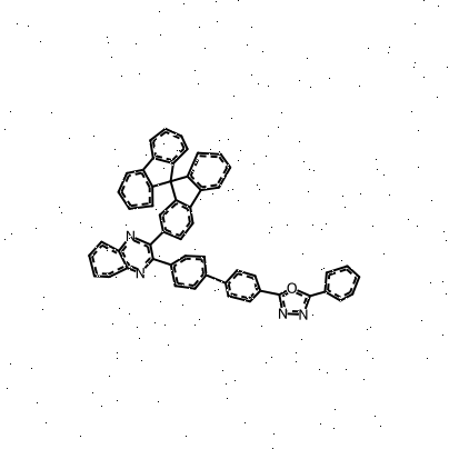 c1ccc(-c2nnc(-c3ccc(-c4ccc(-c5nc6ccccc6nc5-c5ccc6c(c5)C5(c7ccccc7-c7ccccc75)c5ccccc5-6)cc4)cc3)o2)cc1